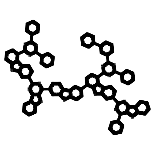 c1ccc(-c2cccc(-c3nc(-c4ccccc4)nc(-c4ccc(-c5ccc6sc7cc(-c8nc(-c9ccc%10c(c9)oc9cccc(-c%11nc(-c%12ccccc%12)nc(-c%12ccccc%12)n%11)c9%10)nc9c8sc8ccccc89)ccc7c6c5)c5oc6cc(-c7nc(-c8ccccc8)c8sc9ccccc9c8n7)ccc6c45)n3)c2)cc1